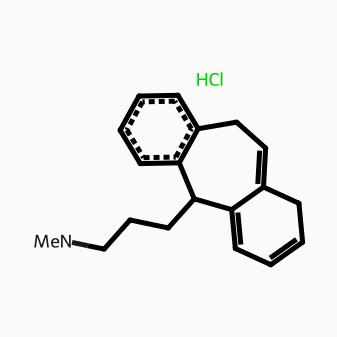 CNCCCC1C2=CC=CCC2=CCc2ccccc21.Cl